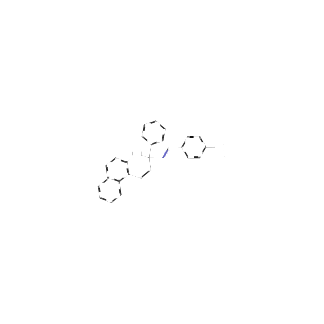 COc1ccc(/C=C/C2(c3ccccc3)C=Cc3c(ccc4ccccc34)O2)cc1